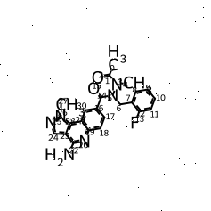 CC(=O)N(C)N(Cc1ccccc1F)C(=O)c1ccc2nc(N)c3cnn(C)c3c2c1